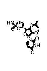 COC1C(OC(C)C)[C@@H](C(C)OP(=O)(O)O)O[C@H]1n1ccc(=O)[nH]c1=O